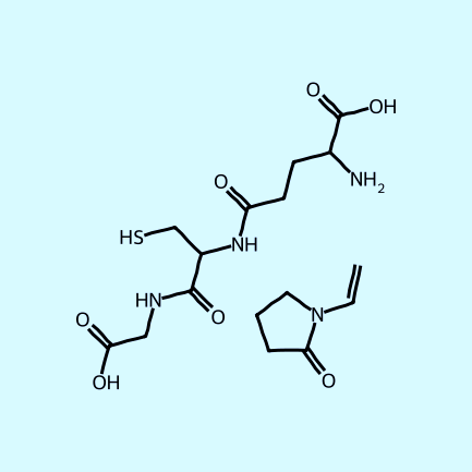 C=CN1CCCC1=O.NC(CCC(=O)NC(CS)C(=O)NCC(=O)O)C(=O)O